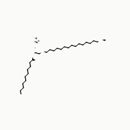 CCCCCCCCCCC(=O)O[C@H](COP(=O)(O)O)CSCCCCCCCCCCCCCCCOC=O